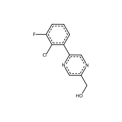 OCc1cnc(-c2cccc(F)c2Cl)cn1